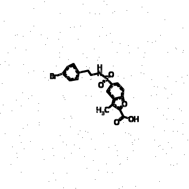 Cc1c(C(=O)O)oc2ccc(S(=O)(=O)NCCc3ccc(Br)cc3)cc12